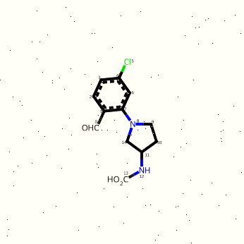 O=Cc1ccc(Cl)cc1N1CCC(NC(=O)O)C1